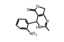 CC1=NC2=C(C(=O)OC2)C(c2ccccc2[N+](=O)[O-])N1